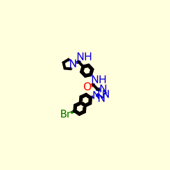 N=C(c1ccc(NC(=O)c2nnnn2-c2ccc3cc(Br)ccc3c2)cc1)N1CCCC1